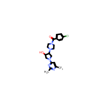 Cc1nc(N2CC(O)C(N3CCN(C(=O)c4ccc(Cl)cc4)CC3)C2)cc(C(F)(F)F)n1